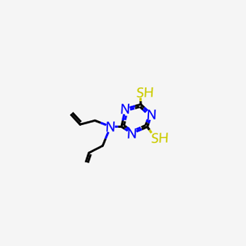 C=CCN(CC=C)c1nc(S)nc(S)n1